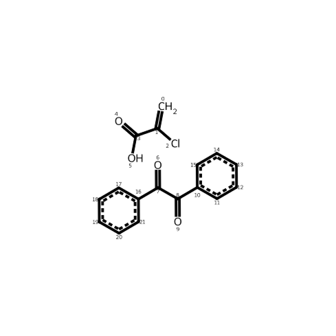 C=C(Cl)C(=O)O.O=C(C(=O)c1ccccc1)c1ccccc1